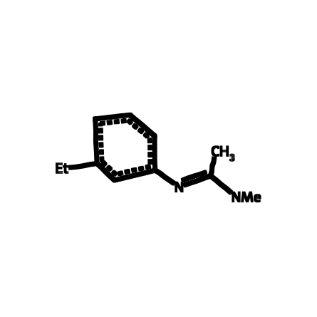 CCc1cccc(/N=C(\C)NC)c1